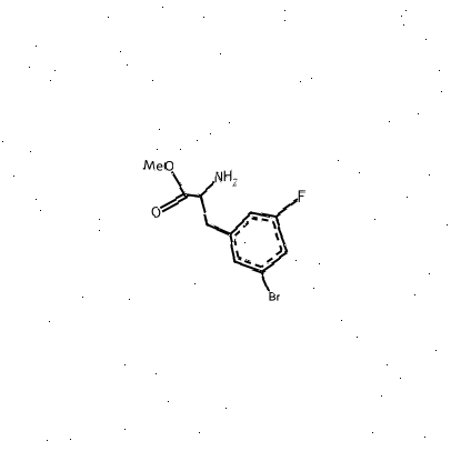 COC(=O)C(N)Cc1cc(F)cc(Br)c1